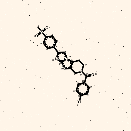 CS(=O)(=O)c1ccc(-c2cn3c4c(sc3n2)CN(C(=O)c2ccc(Cl)cc2)CC4)cc1